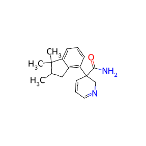 CC1Cc2c(C3(C(N)=O)C=CC=NC3)cccc2C1(C)C